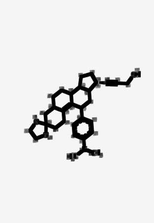 CN(C)c1ccc(C2CC3C(CC[C@@H]3C#CCO)C3CCC4CC5(CCC4=C23)OCCO5)cc1